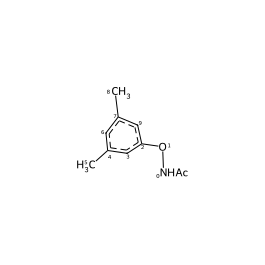 CC(=O)NOc1cc(C)cc(C)c1